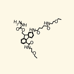 CCOCCNC(=O)CCCC(=O)Nc1ccc2c(c1)C(COC(=O)NN)c1cccc(C(=O)NCCOCC)c1-2